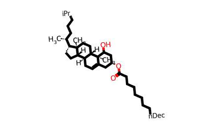 CCCCCCCCCCCCCCCCCC(=O)O[C@@H]1CC2=CC[C@H]3[C@@H]4CC[C@H]([C@H](C)CCCC(C)C)[C@@]4(C)CC[C@@H]3[C@@]2(C)C(O)C1